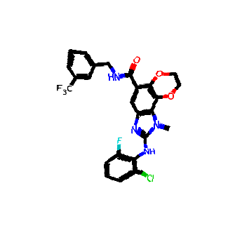 Cn1c(Nc2c(F)cccc2Cl)nc2cc(C(=O)NCc3cccc(C(F)(F)F)c3)c3c(c21)OCCO3